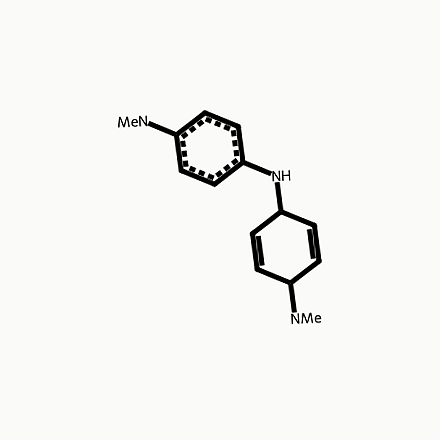 CNc1ccc(NC2C=CC(NC)C=C2)cc1